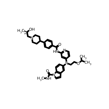 CNC(=O)n1ccc2cc(N(CCOC(C)C)c3ccnc(NC(=O)c4ccc(C5CCN(C[C@@H](C)O)CC5)cc4)c3)ccc21